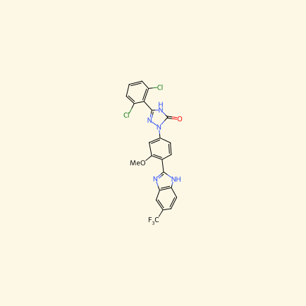 COc1cc(-n2nc(-c3c(Cl)cccc3Cl)[nH]c2=O)ccc1-c1nc2cc(C(F)(F)F)ccc2[nH]1